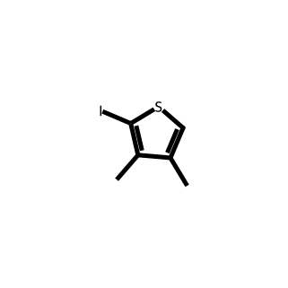 Cc1csc(I)c1C